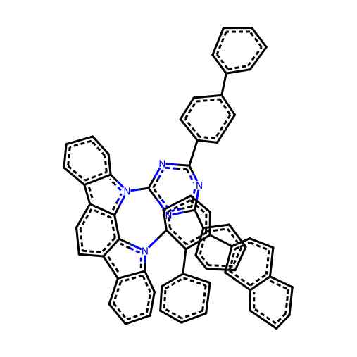 c1ccc(-c2ccc(-c3nc(-c4ccccc4)nc(-n4c5ccccc5c5ccc6c7ccccc7n(-c7cccc(-c8ccc9ccccc9c8)c7-c7ccccc7)c6c54)n3)cc2)cc1